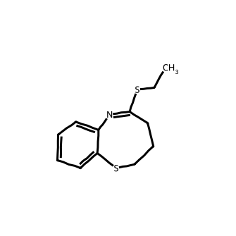 CCS/C1=N/c2ccccc2SCCC1